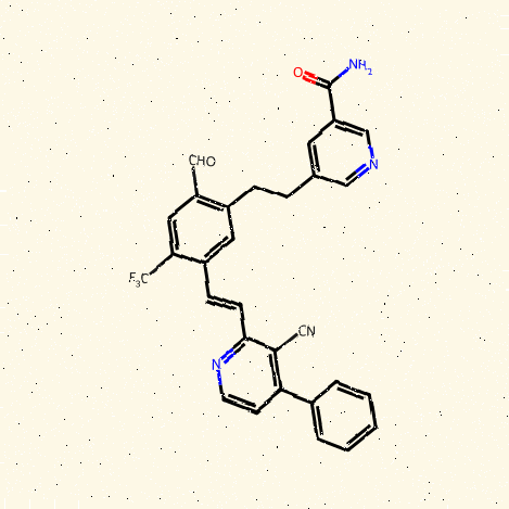 N#Cc1c(-c2ccccc2)ccnc1C=Cc1cc(CCc2cncc(C(N)=O)c2)c(C=O)cc1C(F)(F)F